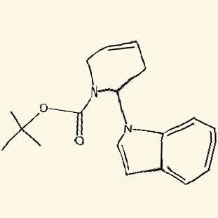 CC(C)(C)OC(=O)N1CC=CCC1n1ccc2ccccc21